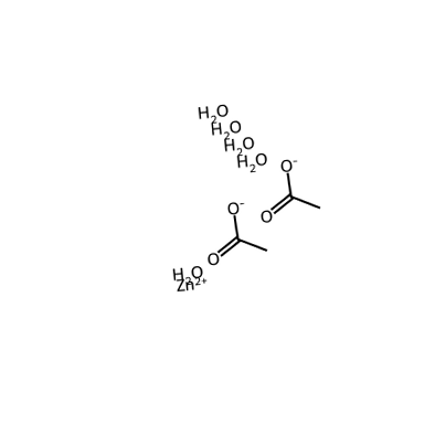 CC(=O)[O-].CC(=O)[O-].O.O.O.O.O.[Zn+2]